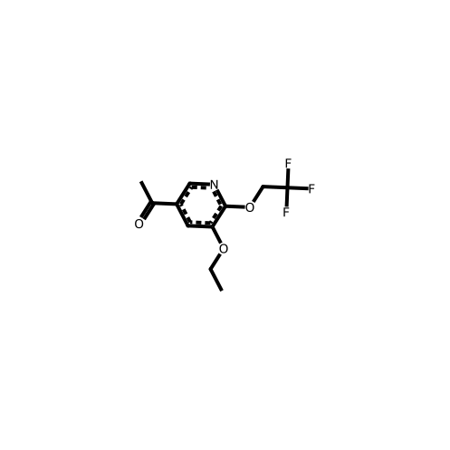 CCOc1cc(C(C)=O)cnc1OCC(F)(F)F